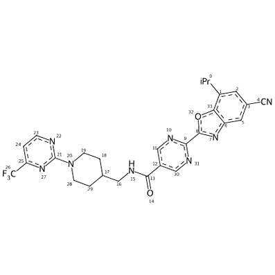 CC(C)c1cc(C#N)cc2nc(-c3ncc(C(=O)NCC4CCN(c5nccc(C(F)(F)F)n5)CC4)cn3)oc12